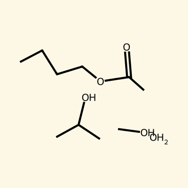 CC(C)O.CCCCOC(C)=O.CO.O